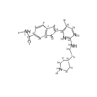 CNC(=O)c1ccc2cc(-c3nc(NCCC4CCN(C)CC4)ncc3C)sc2c1